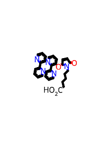 O=C(O)CCCCCN1C(=O)C=CC1=O.c1ccc(-c2ccccn2)nc1.c1ccc(-c2ccccn2)nc1